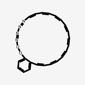 c1ccccccccc2ccccc2oonnnnccccccc1